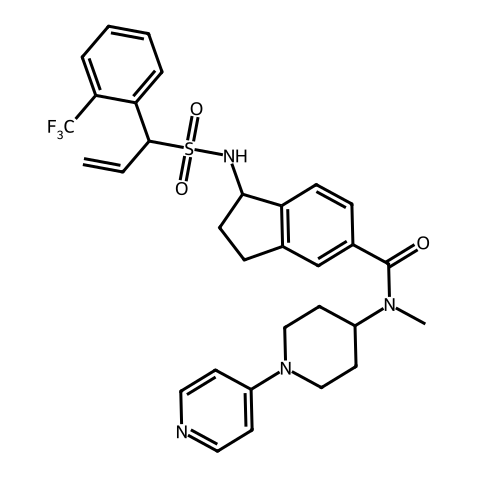 C=CC(c1ccccc1C(F)(F)F)S(=O)(=O)NC1CCc2cc(C(=O)N(C)C3CCN(c4ccncc4)CC3)ccc21